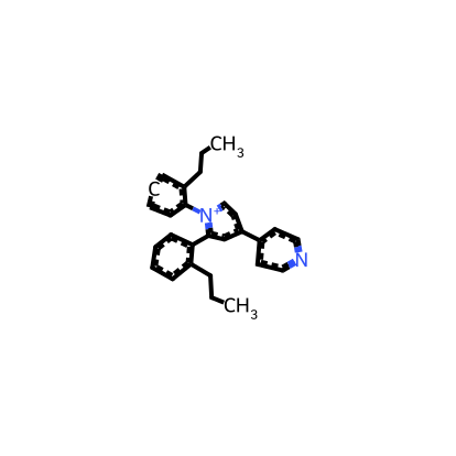 CCCc1ccccc1-c1cc(-c2ccncc2)cc[n+]1-c1ccccc1CCC